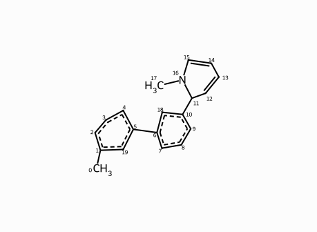 Cc1cccc(-c2cccc(C3C=CC=CN3C)c2)c1